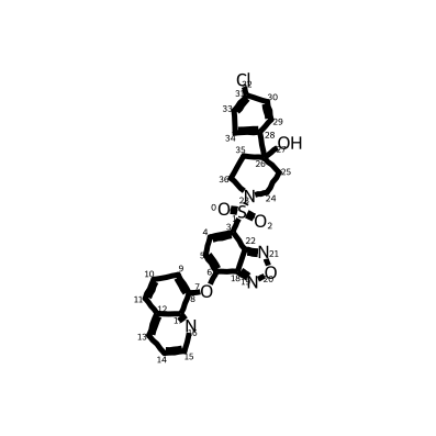 O=S(=O)(c1ccc(Oc2cccc3cccnc23)c2nonc12)N1CCC(O)(c2ccc(Cl)cc2)CC1